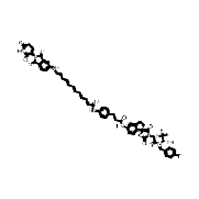 C[C@H](N(Cc1ccc(F)cc1)C(=O)CN1C(=O)O[C@@]2(CCc3cc(NC(=O)CCc4ccc(NC(=O)CCCCCCCCCCCNc5ccc6c(c5)C(=O)N(C5CCC(=O)NC5=O)C6=O)cc4)ccc32)C1=O)C(F)(F)F